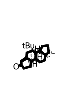 C[C@H]1CC[C@H]2[C@@H]3[C@@H](C(C)(C)C)CC4=CC(=O)CC[C@]4(C)[C@H]3CC[C@]12C